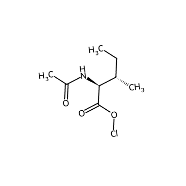 CC[C@H](C)[C@H](NC(C)=O)C(=O)OCl